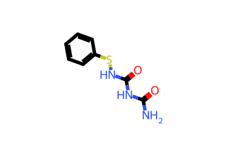 NC(=O)NC(=O)NSc1ccccc1